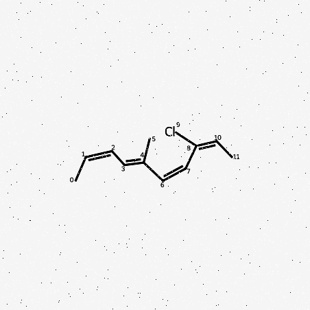 C\C=C/C=C(C)/C=C\C(Cl)=C/C